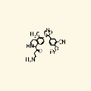 Cc1c(N2C=NOC2c2ccc(OC(C)C)c(C#N)c2)ccc2c1CCNC2C(=O)CCN